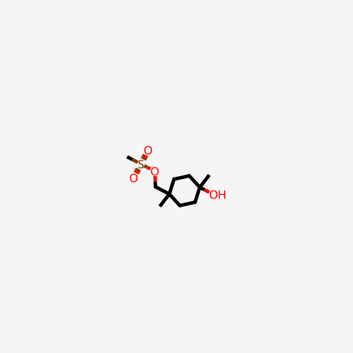 CC1(O)CCC(C)(COS(C)(=O)=O)CC1